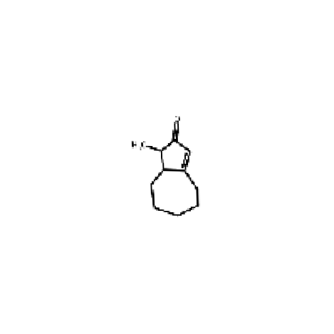 CC1C(=O)C=C2CCCCCC21